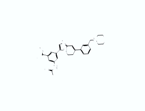 CC(=O)Nc1cc(C(N)=O)cc(-c2cnc3n2CCC(c2cccc(CN4CCOCC4)c2)=C3)c1